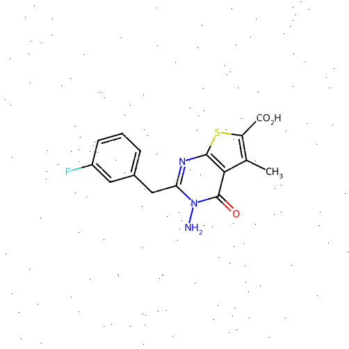 Cc1c(C(=O)O)sc2nc(Cc3cccc(F)c3)n(N)c(=O)c12